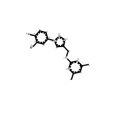 Cc1cc(C)nc(OCc2cn(-c3ccc(F)c(Br)c3)nn2)n1